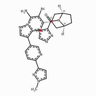 CC(=O)c1c([C@@H]2C[C@H]3CC[C@@H](C2)N3C(=O)c2nnc[nH]2)nc2c(-c3ccc(-c4ccn(C)n4)nc3)cnn2c1N